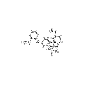 COc1ccccc1Oc1ccc([N+]2(S(=O)(=O)C(F)(F)F)C=C(CN)C=CC2)cc1